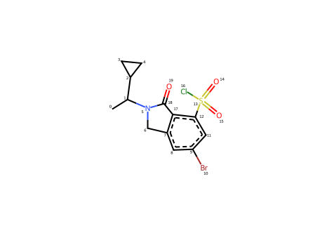 CC(C1CC1)N1Cc2cc(Br)cc(S(=O)(=O)Cl)c2C1=O